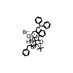 CC(C)(C)OC(=O)C1(NC(=O)Cc2ccccc2)C(=O)N2C=C(C[P+](c3ccccc3)(c3ccccc3)c3ccccc3)C[S+]([O-])[C@H]21.[Br-]